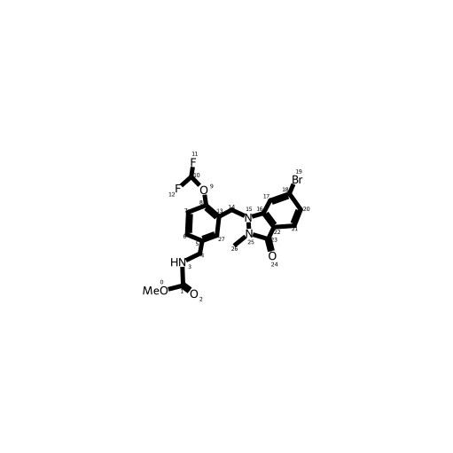 COC(=O)NCc1ccc(OC(F)F)c(Cn2c3cc(Br)ccc3c(=O)n2C)c1